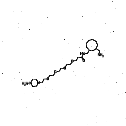 NCC1CCCCCCC(CNC(=O)CCOCCOCCOCCOCCN2CCN(N)CC2)C1